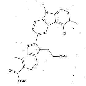 CCn1c2ccc(-c3nc4c(C)c(C(=O)OC)ccc4n3CCOC)cc2c2c(Cl)c(C)ccc21